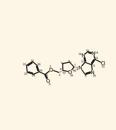 O=C(OC[C@@H]1C[CH][C@H](n2cnc3c(Cl)ncnc32)O1)c1ccccc1